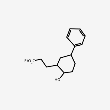 CCOC(=O)CCC1CC(c2ccccc2)CCC1O